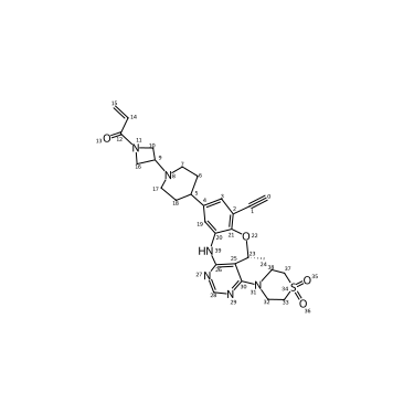 C#Cc1cc(C2CCN(C3CN(C(=O)C=C)C3)CC2)cc2c1O[C@H](C)c1c(ncnc1N1CCS(=O)(=O)CC1)N2